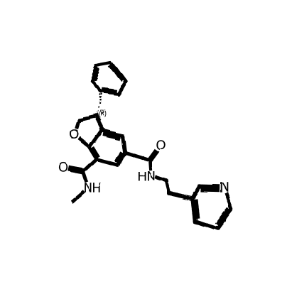 CNC(=O)c1cc(C(=O)NCCc2cccnc2)cc2c1OC[C@@H]2c1ccccc1